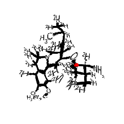 [2H]c1c(OC)c(OC)c([2H])c2c1C1N(C([2H])([2H])C2([2H])[2H])C([2H])([2H])C([2H])(C([2H])([2H])C([2H])(C)C([2H])([2H])[2H])C(OC(=O)[C@@]([2H])(N)C([2H])(C([2H])([2H])[2H])C([2H])([2H])[2H])C1([2H])[2H]